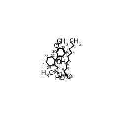 CCCCCCCCCC(=O)O.COc1cccc([C@@]2(O)CCCC[C@@H]2CN(C)C)c1